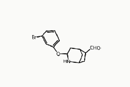 O=[C]C1CC2CC1CC(Oc1cccc(Br)c1)N2